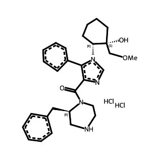 COC[C@]1(O)CCCC[C@H]1n1cnc(C(=O)N2CCNC[C@H]2Cc2ccccc2)c1-c1ccccc1.Cl.Cl